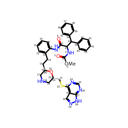 COC(=O)NC(C(=O)Nc1ccccc1CC[C@@H]1CNC[C@@H](CSc2ncnc3[nH]ncc23)O1)C(c1ccccc1)c1ccccc1